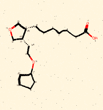 O=C(O)CCCCCC[C@H]1COC[C@H]1CCOC1CCCC1